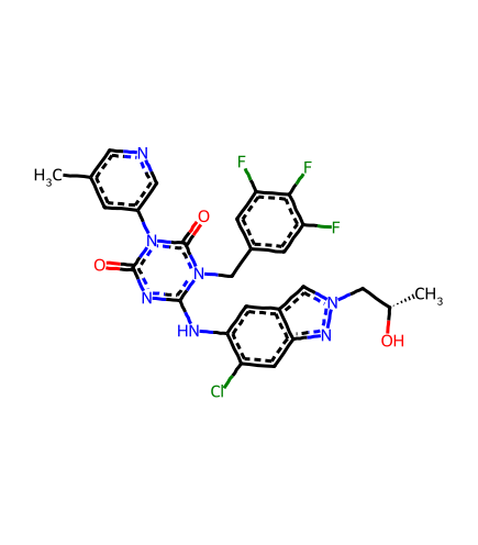 Cc1cncc(-n2c(=O)nc(Nc3cc4cn(C[C@H](C)O)nc4cc3Cl)n(Cc3cc(F)c(F)c(F)c3)c2=O)c1